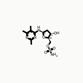 Cc1nc(C)c(C)c(N[C@H]2C[C@H](O)[C@@H](COS(N)(=O)=O)O2)n1